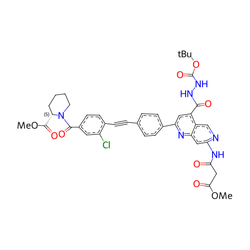 COC(=O)CC(=O)Nc1cc2nc(-c3ccc(C#Cc4ccc(C(=O)N5CCCC[C@H]5C(=O)OC)cc4Cl)cc3)cc(C(=O)NNC(=O)OC(C)(C)C)c2cn1